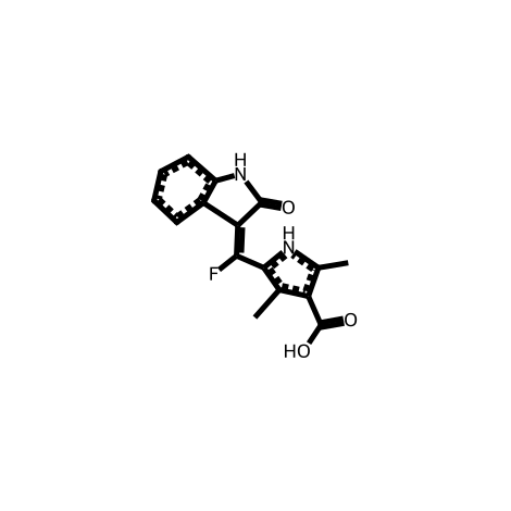 Cc1[nH]c(C(F)=C2C(=O)Nc3ccccc32)c(C)c1C(=O)O